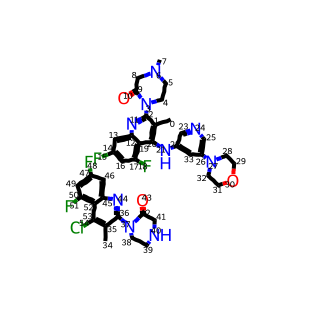 Cc1c(N2CCN(C)CC2=O)nc2cc(F)cc(F)c2c1Nc1cncc(N2CCOCC2)c1.Cc1c(N2CCNCC2=O)nc2cc(F)cc(F)c2c1Cl